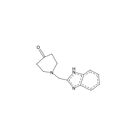 O=C1CCN(Cc2nc3ccccc3[nH]2)CC1